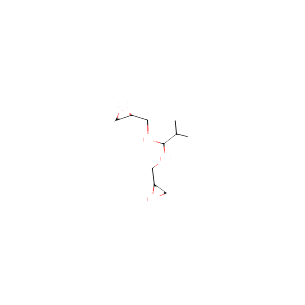 CC(C)C(OCC1CO1)OCC1CO1